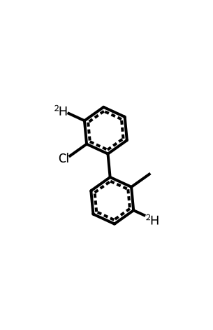 [2H]c1cccc(-c2cccc([2H])c2Cl)c1C